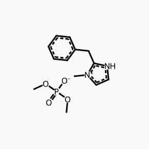 COP(=O)([O-])OC.C[n+]1cc[nH]c1Cc1ccccc1